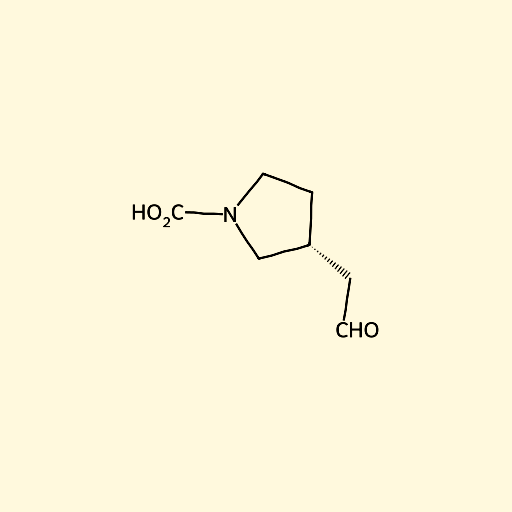 O=CC[C@H]1CCN(C(=O)O)C1